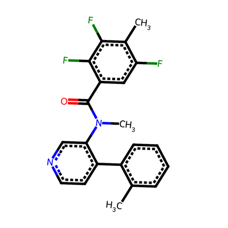 Cc1ccccc1-c1ccncc1N(C)C(=O)c1cc(F)c(C)c(F)c1F